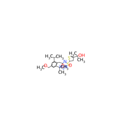 COCc1cc(C(C)C)c(CC(=O)N=[S@@](N)(=O)C2CC(C(C)(C)O)=CS2)c(C(C)C)c1